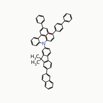 CC1(C)c2cc(-c3ccc4ccccc4c3)ccc2-c2ccc(N(c3ccc(-c4ccc(-c5ccccc5)cc4)cc3)c3ccccc3-c3cccc(-c4ccccc4)c3)cc21